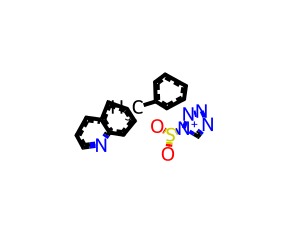 Cc1ccccc1.O=S(=O)=[N+]1C=NN=N1.c1ccc2ncccc2c1